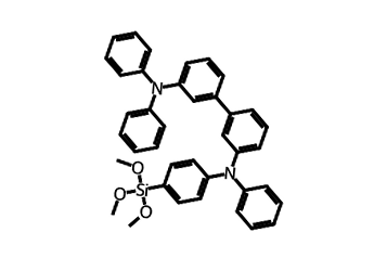 CO[Si](OC)(OC)c1ccc(N(c2ccccc2)c2cccc(-c3cccc(N(c4ccccc4)c4ccccc4)c3)c2)cc1